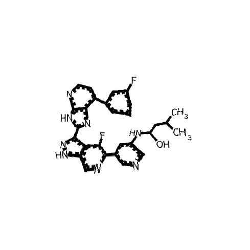 CC(C)CC(O)Nc1cncc(-c2ncc3[nH]nc(-c4nc5c(-c6cccc(F)c6)ccnc5[nH]4)c3c2F)c1